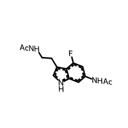 CC(=O)NCCc1c[nH]c2cc(NC(C)=O)cc(F)c12